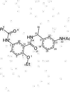 CCOc1ccc(NC(=O)C(C)C)cc1C(=O)NC(C)c1cccc(NC(C)=O)c1